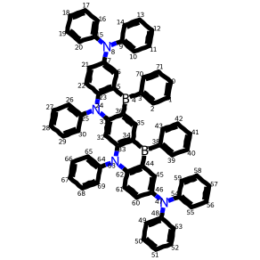 c1ccc(B2c3cc(N(c4ccccc4)c4ccccc4)ccc3N(c3ccccc3)c3cc4c(cc32)B(c2ccccc2)c2cc(N(c3ccccc3)c3ccccc3)ccc2N4c2ccccc2)cc1